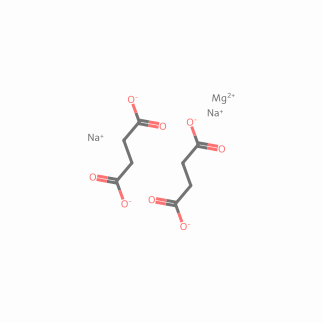 O=C([O-])CCC(=O)[O-].O=C([O-])CCC(=O)[O-].[Mg+2].[Na+].[Na+]